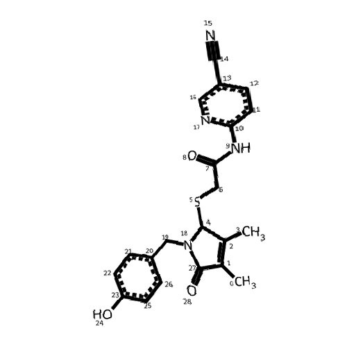 CC1=C(C)C(SCC(=O)Nc2ccc(C#N)cn2)N(Cc2ccc(O)cc2)C1=O